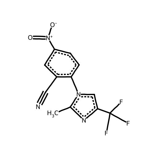 Cc1nc(C(F)(F)F)cn1-c1ccc([N+](=O)[O-])cc1C#N